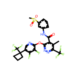 Cc1c(C(F)(F)F)nnc(Oc2ncc(C3(C(F)(F)F)CCC3)c(F)c2F)c1C(=O)Nc1cccc(S(C)(=O)=O)c1